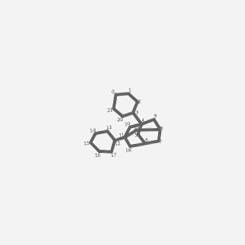 C1CCC(C23CC4CC(C2)CC(C2CCCCC2)(C4)C3)CC1